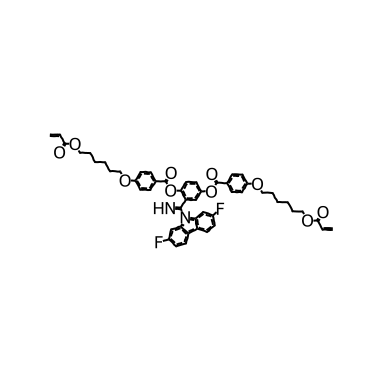 C=CC(=O)OCCCCCCOc1ccc(C(=O)Oc2ccc(OC(=O)c3ccc(OCCCCCCOC(=O)C=C)cc3)c(C(=N)n3c4cc(F)ccc4c4ccc(F)cc43)c2)cc1